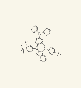 CC(C)(C)c1ccc(C2=Cc3cc(N(c4c#cccc4)c4ccccc4)ccc3B(c3ccc4c(c3)C(C)(C)CCC4(C)C)c3sc4ccccc4c32)cc1